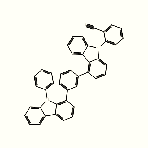 N#Cc1ccccc1-n1c2ccccc2c2c(-c3cccc(-c4cccc5c6ccccc6n(-c6ccccc6)c45)c3)cccc21